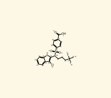 O=C(O)c1ccc(S(=O)(=O)N(CCCC(F)(F)F)c2sc3ccccc3c2Cl)cc1